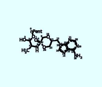 CCCCCOC(O)[C@H](C)NP1(=O)CO[C@@H](Cn2cnc3c(N)ncnc32)CO1